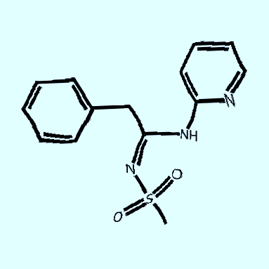 CS(=O)(=O)N=C(Cc1ccccc1)Nc1ccccn1